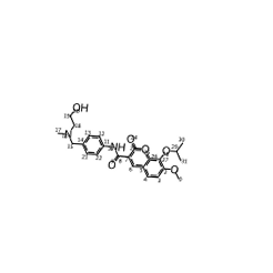 COc1ccc2cc(C(=O)Nc3ccc(CN(C)CCO)cc3)c(=O)oc2c1OC(C)C